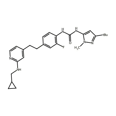 Cn1nc(C(C)(C)C)cc1NC(=O)Nc1ccc(CCc2ccnc(NCC3CC3)c2)cc1F